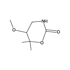 COC1CNC(=O)OC1(C)C